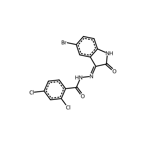 O=C1Nc2ccc(Br)cc2/C1=N\NC(=O)c1ccc(Cl)cc1Cl